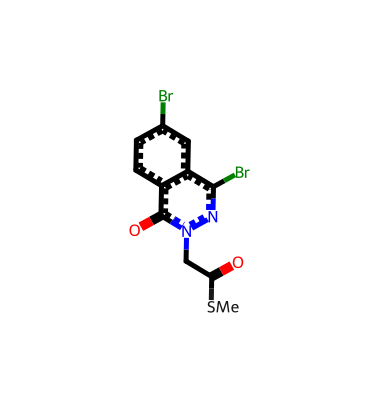 CSC(=O)Cn1nc(Br)c2cc(Br)ccc2c1=O